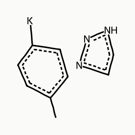 Cc1cc[c]([K])cc1.c1c[nH]nn1